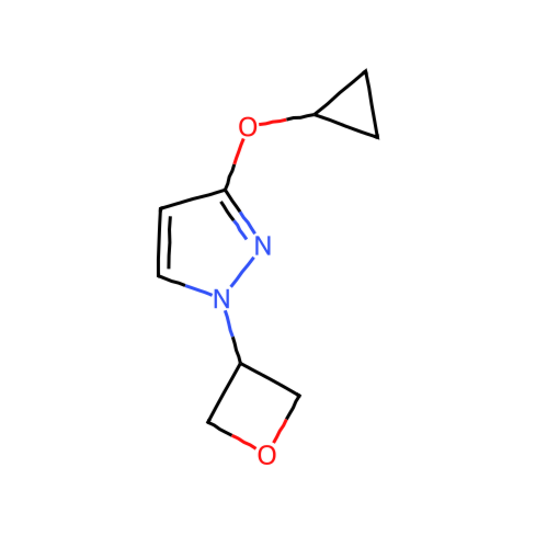 c1cn(C2COC2)nc1OC1CC1